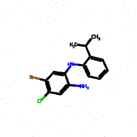 CC(C)c1ccccc1Nc1cc(Br)c(Cl)cc1N